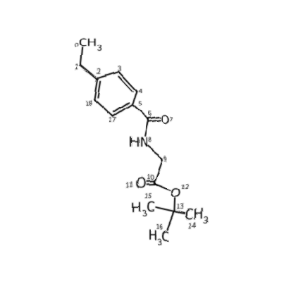 CCc1ccc(C(=O)NCC(=O)OC(C)(C)C)cc1